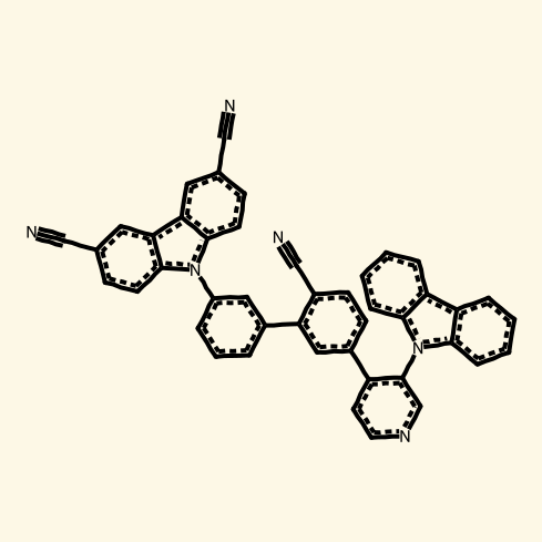 N#Cc1ccc2c(c1)c1cc(C#N)ccc1n2-c1cccc(-c2cc(-c3ccncc3-n3c4ccccc4c4ccccc43)ccc2C#N)c1